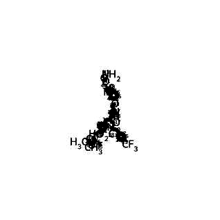 CC1(C)O[C@@H](CF)[C@H](COc2ccc(CC(C(=O)NC(Cc3ccc(C(F)(F)F)cc3)C(=O)O)n3cc(COc4ccc5sc(SOON)nc5c4)nn3)cc2)O1